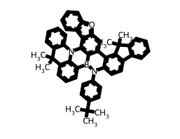 CC(C)(C)c1ccc(N2B3c4cccc5c4N(c4ccccc4C5(C)C)c4c3c(cc3oc5ccccc5c43)-c3c2ccc2c3C(C)(C)c3ccccc3-2)cc1